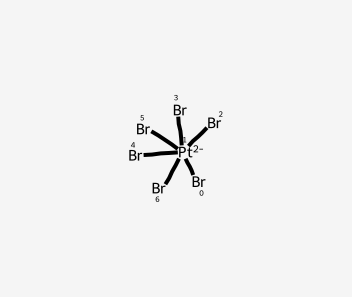 [Br][Pt-2]([Br])([Br])([Br])([Br])[Br]